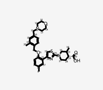 Cc1ccc(OCc2ccc(CN3CCOCC3)cc2C)c(-c2csc(N3CC[C@@H](C(=O)O)C(C)C3)n2)c1